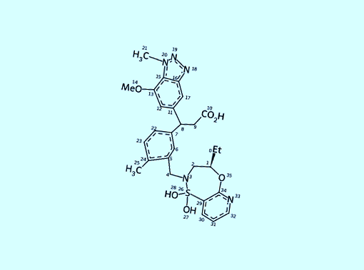 CC[C@@H]1CN(Cc2cc(C(CC(=O)O)c3cc(OC)c4c(c3)nnn4C)ccc2C)S(O)(O)c2cccnc2O1